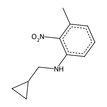 Cc1cccc(NCC2CC2)c1[N+](=O)[O-]